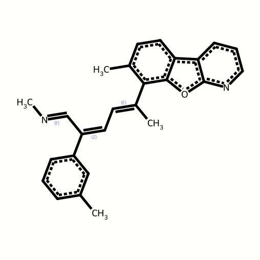 C/N=C/C(=C\C=C(/C)c1c(C)ccc2c1oc1ncccc12)c1cccc(C)c1